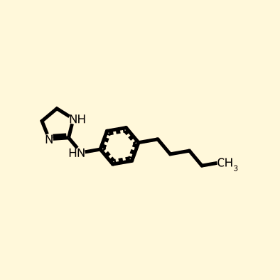 CCCCCc1ccc(NC2=NCCN2)cc1